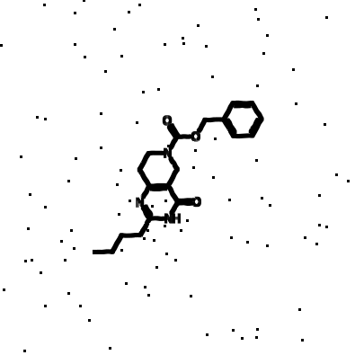 CCCCc1nc2c(c(=O)[nH]1)CN(C(=O)OCc1ccccc1)CC2